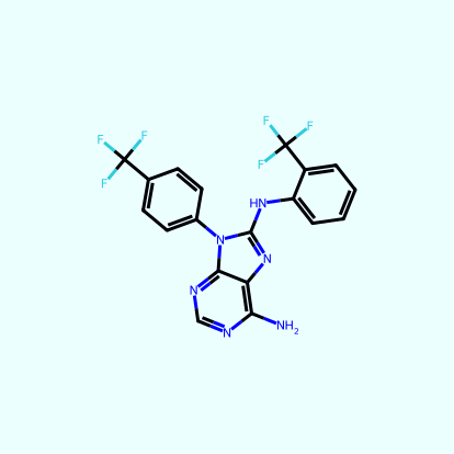 Nc1ncnc2c1nc(Nc1ccccc1C(F)(F)F)n2-c1ccc(C(F)(F)F)cc1